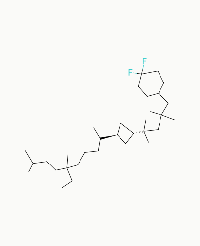 CCC(C)(CCCC(C)[C@H]1C[C@H](C(C)(C)CC(C)(C)CC2CCC(F)(F)CC2)C1)CCC(C)C